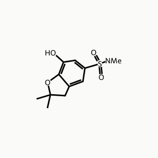 CNS(=O)(=O)c1cc(O)c2c(c1)CC(C)(C)O2